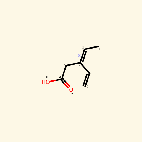 C=C/C(=C\C)CC(=O)O